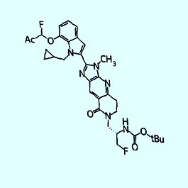 CC(=O)C(F)Oc1cccc2cc(-c3nc4cc5c(nc4n3C)CCN(C[C@@H](CF)NC(=O)OC(C)(C)C)C5=O)n(CC3CC3)c12